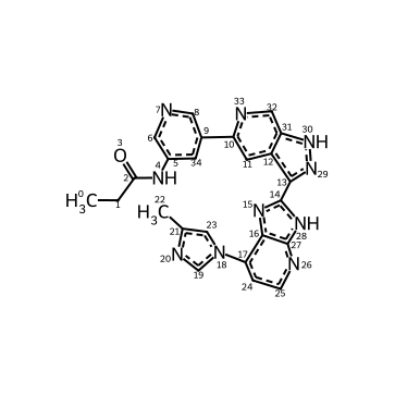 CCC(=O)Nc1cncc(-c2cc3c(-c4nc5c(-n6cnc(C)c6)ccnc5[nH]4)n[nH]c3cn2)c1